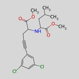 COC(=O)C(CC#Cc1cc(Cl)cc(Cl)c1)NC(CC(C)C)C(=O)OC